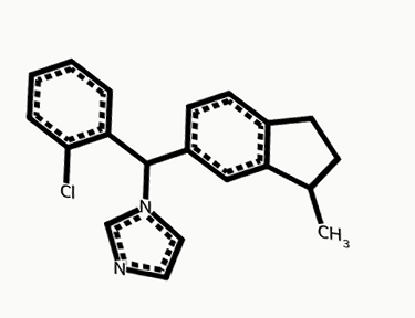 CC1CCc2ccc(C(c3ccccc3Cl)n3ccnc3)cc21